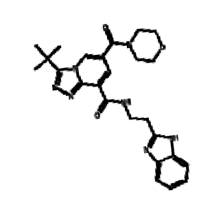 CC(C)(C)c1nnc2c(C(=O)NCCc3nc4ccccc4[nH]3)cc(C(=O)N3CCOCC3)cn12